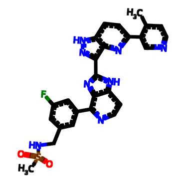 Cc1ccncc1-c1ccc2[nH]nc(-c3nc4c(-c5cc(F)cc(CNS(C)(=O)=O)c5)nccc4[nH]3)c2n1